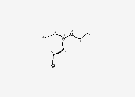 CCON(CC)CCCl